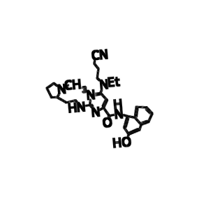 CCN(CCCC#N)c1cc(C(=O)Nc2cc(O)cc3ccccc23)nc(NCCC2CCCN2C)n1